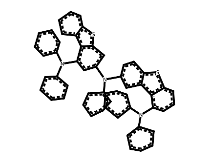 c1ccc(N(c2cc(N(c3ccccc3)c3ccccc3)c3c(c2)sc2ccccc23)c2ccc3sc4cccc(N(c5ccccc5)c5ccccc5)c4c3c2)cc1